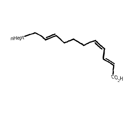 CCCCCCCCC=CCCC/C=C\C=CC(=O)O